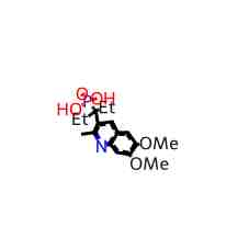 CCC(CC)(c1cc2cc(OC)c(OC)cc2nc1C)P(=O)(O)O